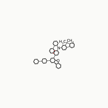 CC1(C)c2ccccc2-c2ccc(N(c3ccc(-c4cc(-c5ccc(-c6ccccc6)cc5)cc5c4oc4ccccc45)cc3)c3ccccc3-c3ccccc3)cc21